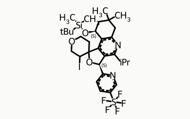 CC(C)c1nc2c(c3c1[C@@H](c1ccc(S(F)(F)(F)(F)F)cn1)OC31CCOCC1I)[C@@H](O[Si](C)(C)C(C)(C)C)CC(C)(C)C2